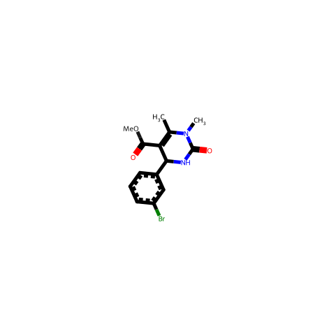 COC(=O)C1=C(C)N(C)C(=O)NC1c1cccc(Br)c1